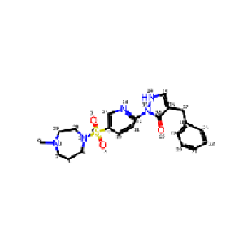 CN1CCCN(S(=O)(=O)c2ccc(-n3[nH]cc(Cc4ccccc4)c3=O)nc2)CC1